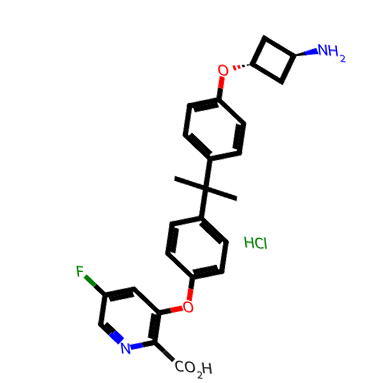 CC(C)(c1ccc(Oc2cc(F)cnc2C(=O)O)cc1)c1ccc(O[C@H]2C[C@H](N)C2)cc1.Cl